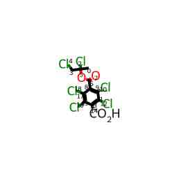 CC(Cl)(CCl)OC(=O)c1c(Cl)c(Cl)c(C(=O)O)c(Cl)c1Cl